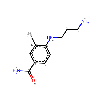 NCCCNc1ccc(C(N)=O)cc1N=O